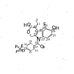 CC[C@H](C(=O)O)c1c(C)n(C(=O)c2ccc(OC(F)(F)F)cc2)c2ccc(O)c(F)c12